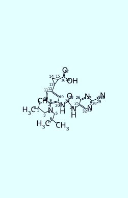 CC(C)CN(CC(C)C)c1ccc(C2CC2C(=O)O)cc1NC(=O)Nc1cnc(C#N)nc1